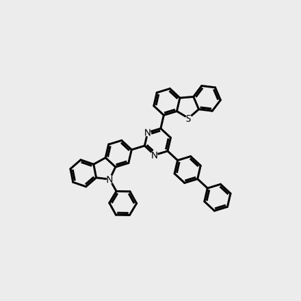 c1ccc(-c2ccc(-c3cc(-c4cccc5c4sc4ccccc45)nc(-c4ccc5c6ccccc6n(-c6ccccc6)c5c4)n3)cc2)cc1